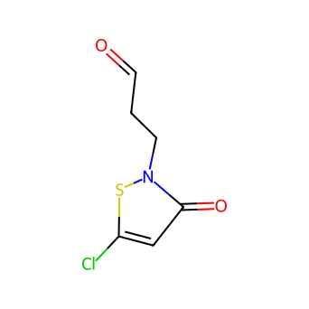 O=CCCn1sc(Cl)cc1=O